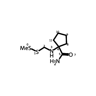 CSSCNC1(C(N)=O)CCCC1